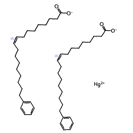 O=C([O-])CCCCCCC/C=C\CCCCCCCCc1ccccc1.O=C([O-])CCCCCCC/C=C\CCCCCCCCc1ccccc1.[Hg+2]